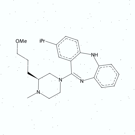 COCCC[C@H]1CN(C2=Nc3ccccc3Nc3ccc(C(C)C)cc32)CCN1C